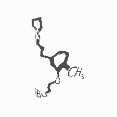 CCC(C)CCOc1cc(CCCN2CCCC2)ccc1C